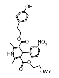 COCCOC(=O)C1=C(C)NC(C)=C(C(=O)OCCc2ccc(O)cc2)C1c1cccc([N+](=O)[O-])c1